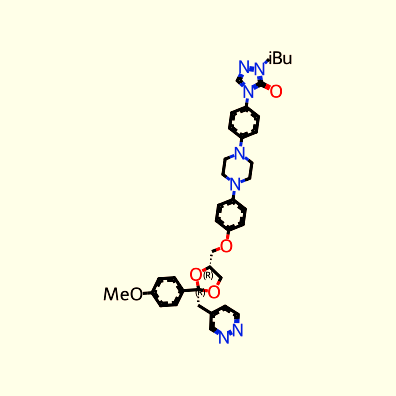 CCC(C)n1ncn(-c2ccc(N3CCN(c4ccc(OC[C@@H]5CO[C@@](Cc6ccnnc6)(c6ccc(OC)cc6)O5)cc4)CC3)cc2)c1=O